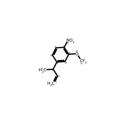 [CH2]C(C=C)c1ccc([N+](=O)[O-])c(OC(F)(F)F)c1